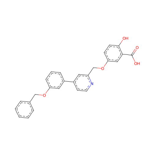 O=C(O)c1cc(OCc2cc(-c3cccc(OCc4ccccc4)c3)ccn2)ccc1O